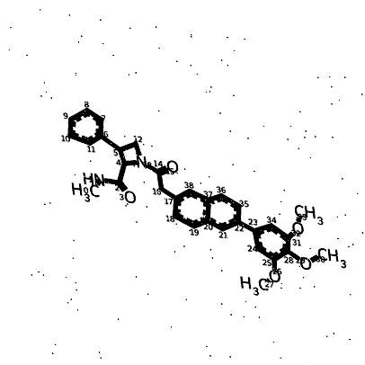 CNC(=O)C1C(c2ccccc2)CN1C(=O)Cc1ccc2cc(-c3cc(OC)c(OC)c(OC)c3)ccc2c1